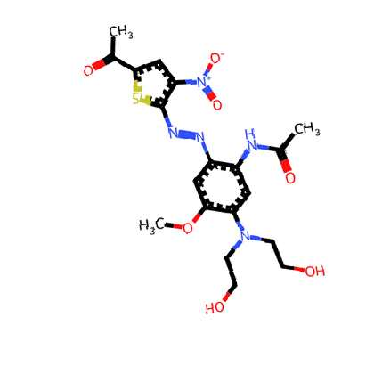 COc1cc(N=Nc2sc(C(C)=O)cc2[N+](=O)[O-])c(NC(C)=O)cc1N(CCO)CCO